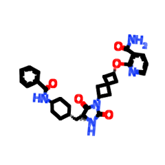 NC(=O)c1cccnc1O[C@H]1CC2(C1)C[C@H](N1C(=O)N[C@@H](C[C@H]3CC[C@H](NC(=O)c4ccccc4)CC3)C1=O)C2